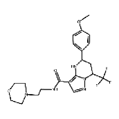 COc1ccc(C2CC(C(F)(F)F)n3ncc(C(=O)NCCN4CCOCC4)c3N2)cc1